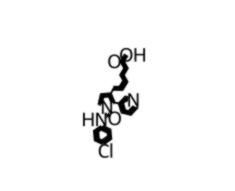 O=C(O)CC/C=C\C[C@@H]1CCN(C(=O)Nc2ccc(Cl)cc2)[C@@H]1c1cccnc1